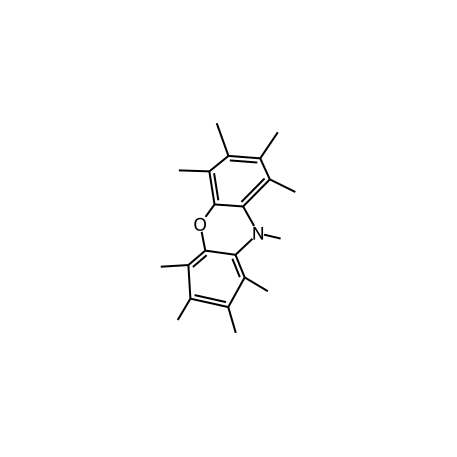 Cc1c(C)c(C)c2c(c1C)Oc1c(C)c(C)c(C)c(C)c1N2C